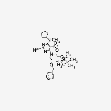 CN(c1nc(C#N)nc(N(CCOCc2ccccc2)CCO[Si](C)(C)C(C)(C)C)c1[N+](=O)[O-])C1CCCC1